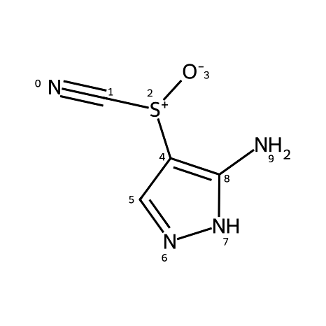 N#C[S+]([O-])c1cn[nH]c1N